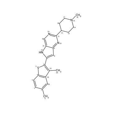 Cc1ccc2sc(-c3cc4nc(C5CCN(C)CC5)ncc4[nH]3)c(C)c2c1